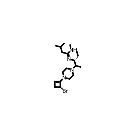 CC[C@@H](/N=C(/CC(C)C)NC)C(C)N1CCN(C2=CC[C@@H]2Br)CC1